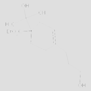 CCOC(=O)C1(C(C)(C)O)CC=C(CCCO)CC1